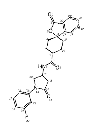 O=C1O[C@]2(CC[C@@H](C(=O)NC3CC(=O)N(c4cccc(F)c4)C3)CC2)c2cnccc21